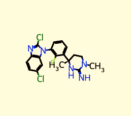 CN1CC[C@@](C)(c2cccc(-n3c(Cl)nc4ccc(Cl)cc43)c2F)NC1=N